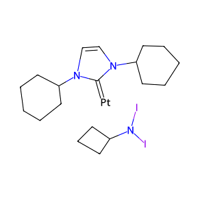 IN(I)C1CCC1.[Pt]=[c]1n(C2CCCCC2)ccn1C1CCCCC1